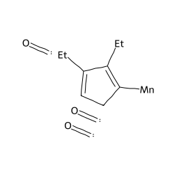 CCC1=CC[C]([Mn])=C1CC.[C]=O.[C]=O.[C]=O